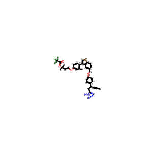 CC#CC(Cc1nnn[nH]1)c1ccc(OCc2ccc3scc(-c4ccc(OCCC(C)(C)OC(=O)C(F)(F)F)cc4C)c3c2)cc1